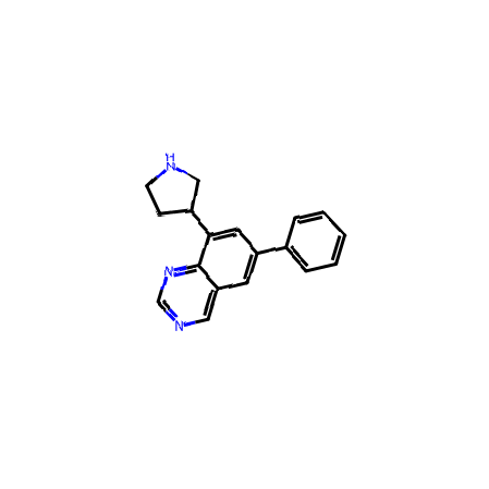 c1ccc(-c2cc(C3CCNC3)c3ncncc3c2)cc1